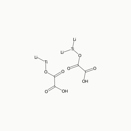 [Li][Ti]([Li])[O]C(=O)C(=O)O.[Li][Ti][O]C(=O)C(=O)O